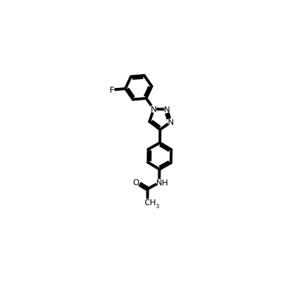 CC(=O)Nc1ccc(-c2cn(-c3cccc(F)c3)nn2)cc1